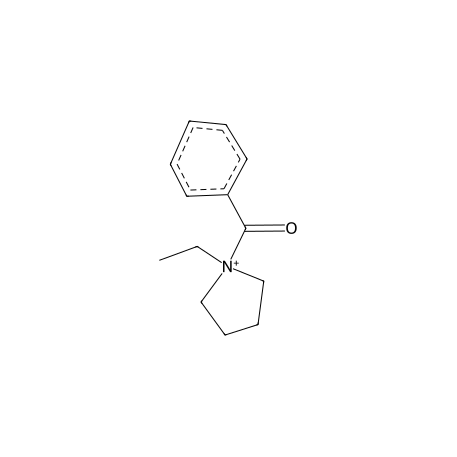 CC[N+]1(C(=O)c2ccccc2)CCCC1